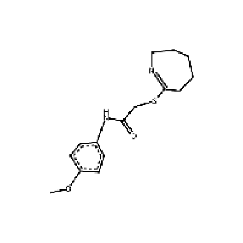 COc1ccc(NC(=O)CSC2=NCCCCC2)cc1